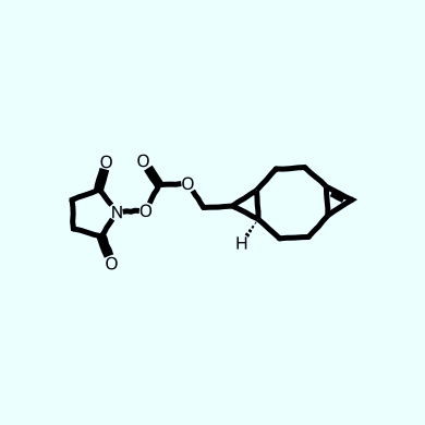 O=C(OCC1C2CCC3=CC3CC[C@H]21)ON1C(=O)CCC1=O